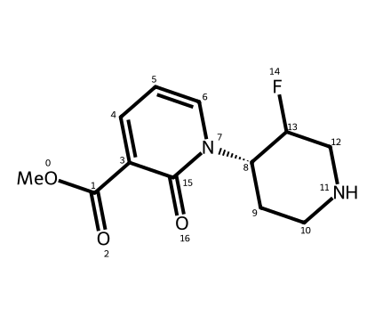 COC(=O)c1cccn([C@H]2CCNCC2F)c1=O